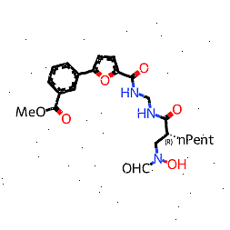 CCCCC[C@H](CN(O)C=O)C(=O)NCNC(=O)c1ccc(-c2cccc(C(=O)OC)c2)o1